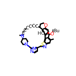 Cc1cc2nc3sc2c(c1C(OC(C)(C)C)C(=O)O)-c1ccc2c(c1)C(CCCCCCN(C)C1CCN(CC1)c1nccc-3n1)CCO2